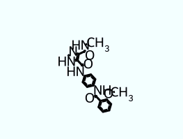 CNC(=O)c1nc[nH]c1C(=O)Nc1ccc(NC(=O)c2ccccc2OC)cc1